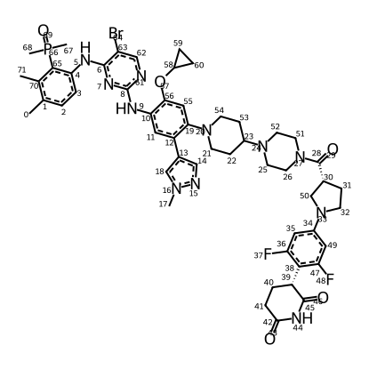 Cc1ccc(Nc2nc(Nc3cc(-c4cnn(C)c4)c(N4CCC(N5CCN(C(=O)[C@@H]6CCN(c7cc(F)c([C@H]8CCC(=O)NC8=O)c(F)c7)C6)CC5)CC4)cc3OC3CC3)ncc2Br)c(P(C)(C)=O)c1C